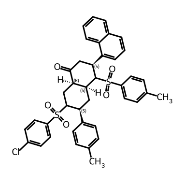 Cc1ccc([C@@H]2C[C@@H]3C(S(=O)(=O)c4ccc(C)cc4)[C@H](c4cccc5ccccc45)CC(=O)[C@@H]3CC2S(=O)(=O)c2ccc(Cl)cc2)cc1